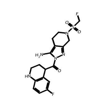 Nc1c2c(nn1C(=O)C1CCNc3ccc(F)cc31)CN(S(=O)(=O)CF)CC2